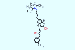 Cc1cccc(C[C@H](O)/C=C/[C@@H]2[C@H]3CC(CCCCN(C(C)C)C(C)C)=C[C@H]3C[C@H]2O)c1